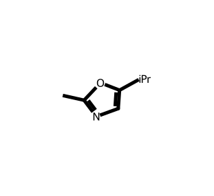 Cc1ncc(C(C)C)o1